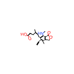 C#Cc1c(C)c2c(c(NC)c1CC=C(C)CCC(=O)O)C(=O)OC2